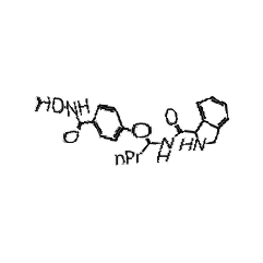 CCCC(NC(=O)C1NCc2ccccc21)Oc1ccc(C(=O)NO)cc1